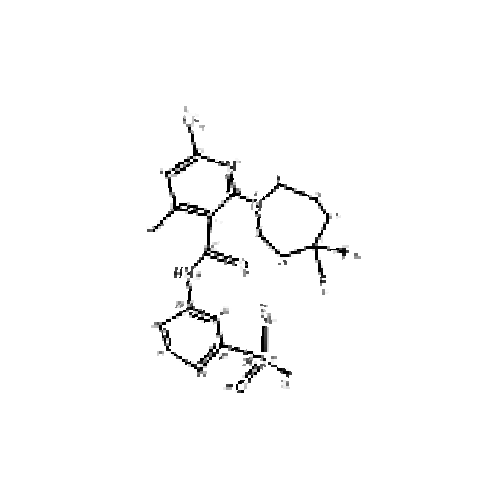 Cc1cc(C(F)(F)F)nc(N2CCCC(F)(F)CC2)c1C(=O)Nc1cccc([S@](C)(=N)=O)c1